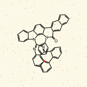 O=c1c2cc3ccccc3cc2c2ccc3c4ccccc4n(-c4nc(-c5ccccc5-c5ccccc5)c5ccccc5n4)c3c2n1-c1ccccc1